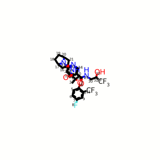 CC(C)(Oc1ccc(F)cc1C(F)(F)F)C(=O)NC1CC2CCC(C1)N2c1ccc(C(=O)NCC(O)C(F)(F)F)cn1